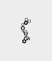 N#Cc1ccccc1CC(=O)N1CCOC(CN2CCC(Oc3ccc(Cl)c(Cl)c3)CC2)C1